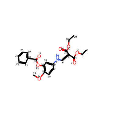 CCOC(=O)C(=CNc1ccc(OC)c(OC(=O)c2ccccc2)c1)C(=O)OCC